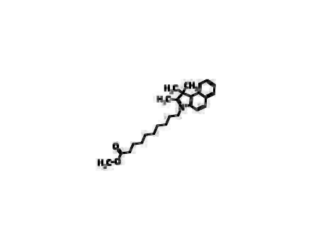 COC(=O)CCCCCCCCC[N+]1=C(C)C(C)(C)c2c1ccc1ccccc21